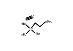 CCCCCCCCCCCC[N+](CCCC)(CCCC)CCCC.[C-]#N